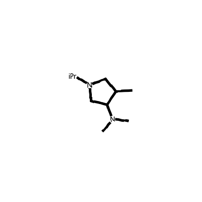 CC1CN(C(C)C)CC1N(C)C